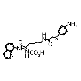 Nc1ccc(SCC(=O)NCCCCC(NC(=O)O)C(=O)Nc2cccc3cccnc23)cc1